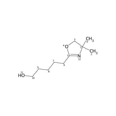 CC1(C)COC(CCCCCO)=N1